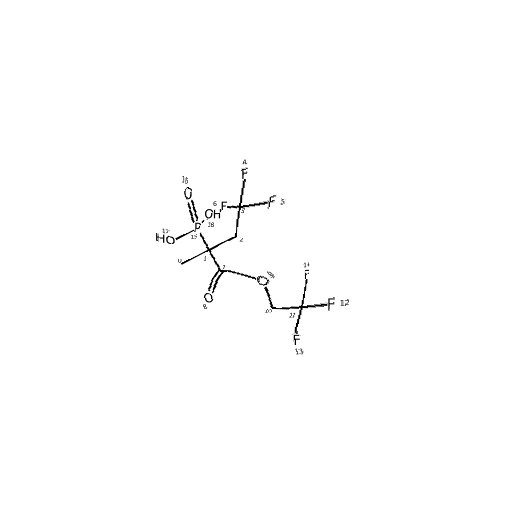 CC(CC(F)(F)F)(C(=O)OCC(F)(F)F)P(=O)(O)O